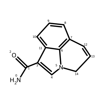 NC(=O)c1cn2c3c(cccc13)C=CC2